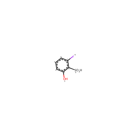 O=S(=O)(O)c1c(O)cccc1I